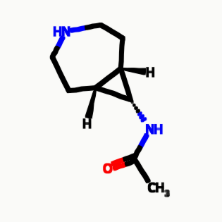 CC(=O)N[C@@H]1[C@@H]2CCNCC[C@@H]21